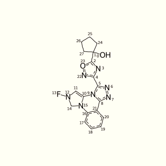 OC1(c2nc(-c3nnc4n3C3=CN(F)CN3c3ccccc3-4)no2)CCCC1